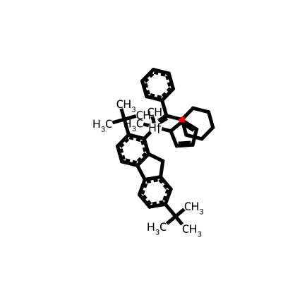 CC(C)(C)c1ccc2c(c1)Cc1c-2ccc(C(C)(C)C)[c]1[Hf]([CH3])([CH3])(=[C](c1ccccc1)C1CCCCC1)[CH]1C=CC=C1